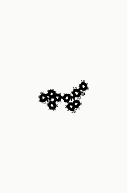 c1cc(-c2ccc(N(c3ccc4c(c3)sc3ccccc34)c3cccc4ccccc34)cc2)cc(-c2ccccc2-n2c3ccccc3c3ccccc32)c1